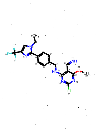 CCn1cc(C(F)(F)F)nc1-c1ccc(CNc2nc(Cl)nc(OC)c2C=N)cc1